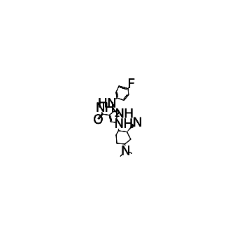 CN(C)[C@H]1CC[C@H](N/C=C(\C(=N)Nc2ccc(F)cc2)C(N)=O)[C@@H](C#N)C1